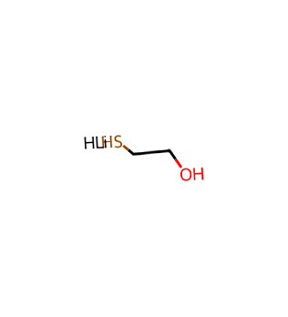 OCCS.[LiH]